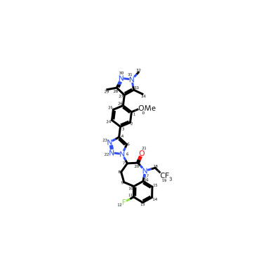 COc1cc(-c2cn(C3CCc4c(F)cccc4N(CC(F)(F)F)C3=O)nn2)ccc1-c1c(C)nn(C)c1C